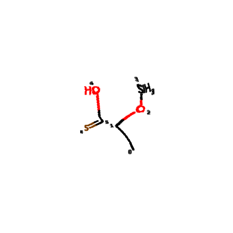 CCO[SiH3].OC=S